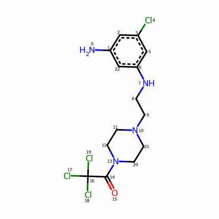 Nc1cc(Cl)cc(NCCN2CCN(C(=O)C(Cl)(Cl)Cl)CC2)c1